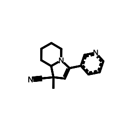 CC1(C#N)C=C(c2cccnc2)N2CCCCC21